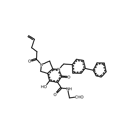 C=CCCC(=O)N1Cc2c(O)c(C(=O)NCC=O)c(=O)n(Cc3ccc(-c4ccccc4)cc3)c2C1